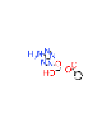 Nc1ncnc2c1ncn2[C@@H]1O[C@H](COC(=O)c2ccccc2)C[C@H]1O